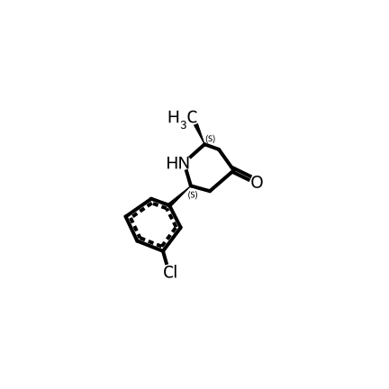 C[C@H]1CC(=O)C[C@@H](c2cccc(Cl)c2)N1